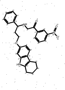 O=C(CNC(CCOc1ccc2c3c([nH]c2c1)CCCC3)c1ccccc1)c1cccc([N+](=O)[O-])c1